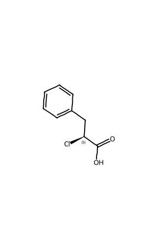 O=C(O)[C@@H](Cl)Cc1ccccc1